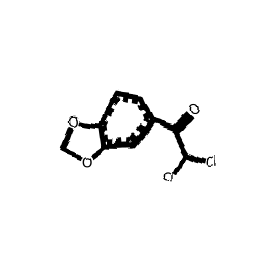 O=C(c1ccc2c(c1)OCO2)C(Cl)Cl